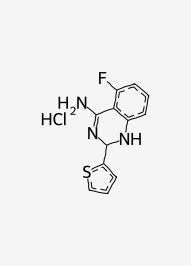 Cl.NC1=NC(c2cccs2)Nc2cccc(F)c21